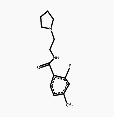 Cc1ccc(C(=O)NCCN2CCCC2)c(F)c1